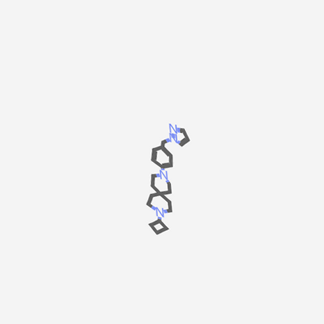 c1cnn(Cc2ccc(N3CCC4(CC3)CCN(C3CCC3)CC4)cc2)c1